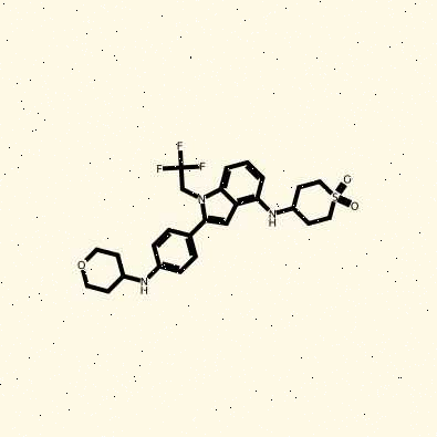 O=S1(=O)CCC(Nc2cccc3c2cc(-c2ccc(NC4CCOCC4)cc2)n3CC(F)(F)F)CC1